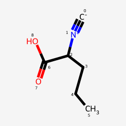 [C-]#[N+]C(CCC)C(=O)O